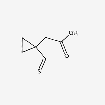 O=C(O)CC1(C=S)CC1